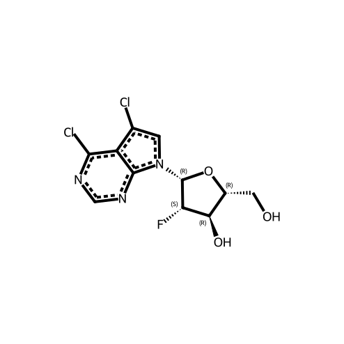 OC[C@H]1O[C@@H](n2cc(Cl)c3c(Cl)ncnc32)[C@@H](F)[C@@H]1O